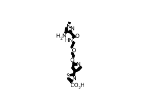 Cn1cc(N)c(C(=O)NCCOCCOc2cc(-c3nc(C(=O)O)cs3)ccn2)n1